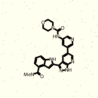 CNC(=O)c1cccc2[nH]c(-c3n[nH]c4ncc(-c5cncc(NC(=O)N6CCOCC6)c5)cc34)cc12